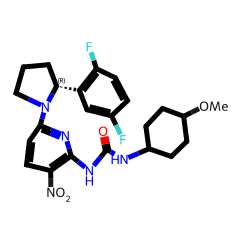 COC1CCC(NC(=O)Nc2nc(N3CCC[C@@H]3c3cc(F)ccc3F)ccc2[N+](=O)[O-])CC1